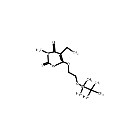 CCc1c(OCCO[Si](C)(C)C(C)(C)C)[nH]c(=S)n(C)c1=O